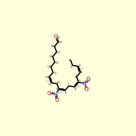 CC/C=C\C/C(=C\C/C=C(\C/C=C\CCCCCC[C]=O)[N+](=O)[O-])[N+](=O)[O-]